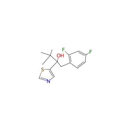 CC(C)(C)C(O)(Cc1ccc(F)cc1F)c1cncs1